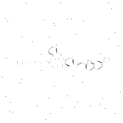 CCOC(=O)CCC(Oc1ccccc1COc1ccc(/C=C/c2ccc3ccc(Cl)cc3n2)cc1)C(=O)OCC